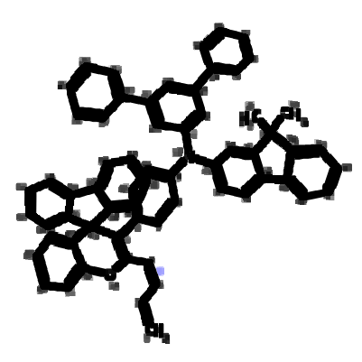 C=C/C=C\C1=C(c2ccc(N(c3cc(-c4ccccc4)cc(-c4ccccc4)c3)c3ccc4c(c3)C(C)(C)c3ccccc3-4)cc2)C2(c3ccccc3O1)c1ccccc1-c1ccccc12